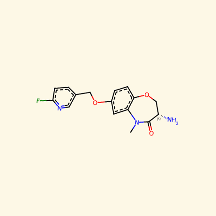 CN1C(=O)[C@@H](N)COc2ccc(OCc3ccc(F)nc3)cc21